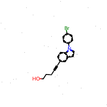 OCCCC#Cc1ccc2c(ccn2-c2ccc(Br)cc2)c1